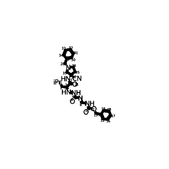 CC(C)CC(NNC(=O)N=CNC(=O)OCc1ccccc1)C(=O)NC1(C#N)CCN(Cc2ccccc2)C1